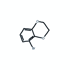 Brc1cccc2c1OCCO2